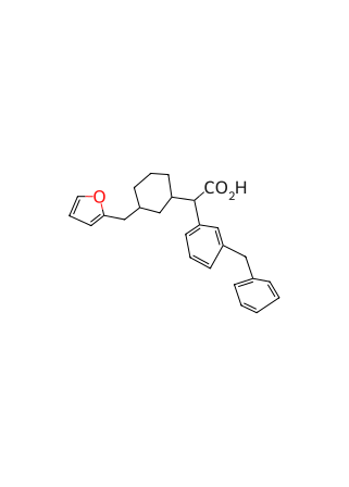 O=C(O)C(c1cccc(Cc2ccccc2)c1)C1CCCC(Cc2ccco2)C1